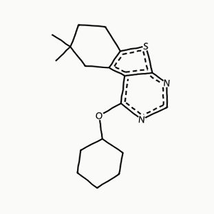 CC1(C)CCc2sc3ncnc(OC4CCCCC4)c3c2C1